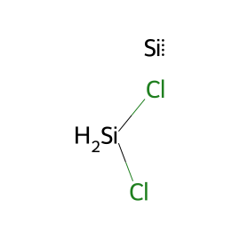 Cl[SiH2]Cl.[Si]